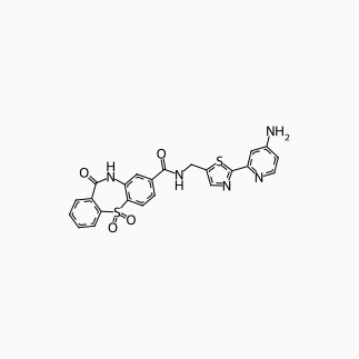 Nc1ccnc(-c2ncc(CNC(=O)c3ccc4c(c3)NC(=O)c3ccccc3S4(=O)=O)s2)c1